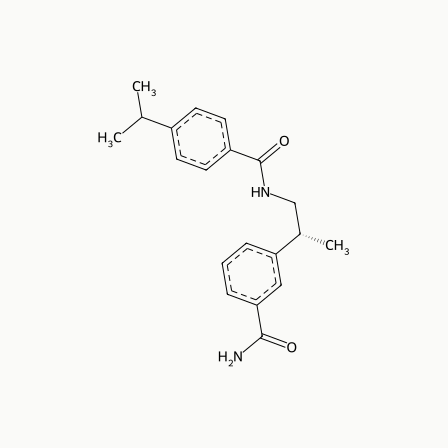 CC(C)c1ccc(C(=O)NC[C@H](C)c2cccc(C(N)=O)c2)cc1